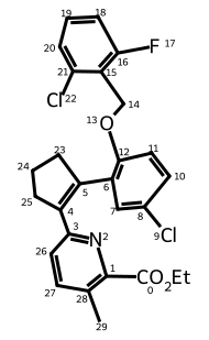 CCOC(=O)c1nc(C2=C(c3cc(Cl)ccc3OCc3c(F)cccc3Cl)CCC2)ccc1C